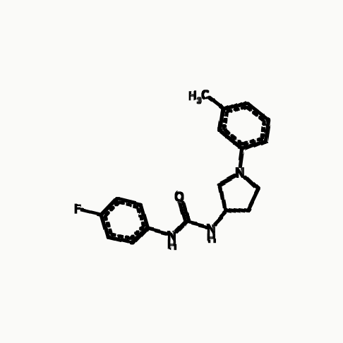 Cc1cccc(N2CCC(NC(=O)Nc3ccc(F)cc3)C2)c1